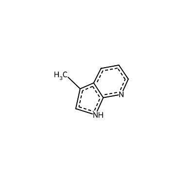 Cc1c[nH]c2ncccc12